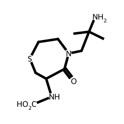 CC(C)(N)CN1CCSCC(NC(=O)O)C1=O